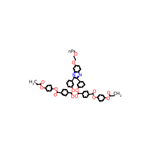 C=CC(=O)Oc1ccc(OC(=O)c2ccc(C(=O)Oc3cccc(-c4nc5ccc(OCCOCCC)cc5nc4-c4cccc(OC(=O)c5ccc(C(=O)Oc6ccc(OC(=O)C=C)cc6)cc5)c4)c3)cc2)cc1